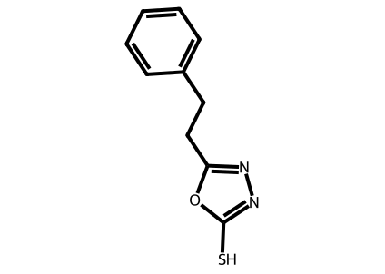 Sc1nnc(CCc2ccccc2)o1